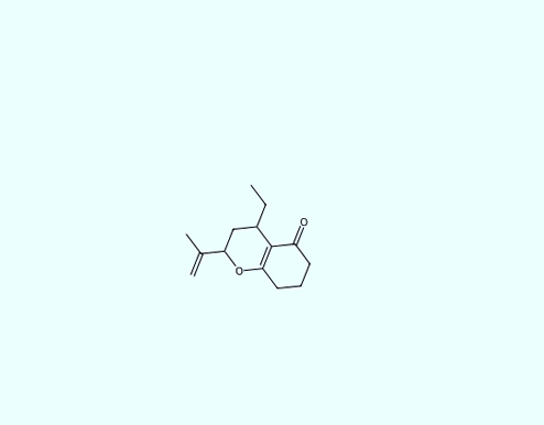 C=C(C)C1CC(CC)C2=C(CCCC2=O)O1